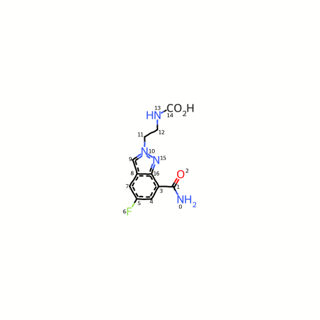 NC(=O)c1cc(F)cc2cn(CCNC(=O)O)nc12